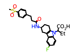 CCC(C(=O)O)n1c2c(c3cc(F)ccc31)C[C@@H](NC(=O)CCc1ccc(S(C)(=O)=O)cc1)CC2